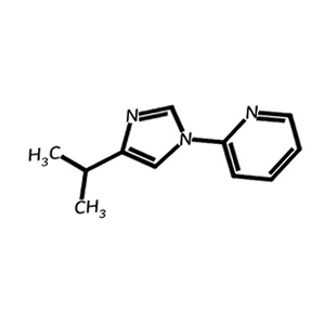 CC(C)c1cn(-c2ccccn2)cn1